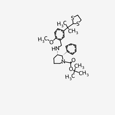 COc1ccc(C(C)(C)C2SCCS2)cc1CN[C@H]1CCCN(C(=O)OC(C)(C)C)[C@H]1c1ccccc1